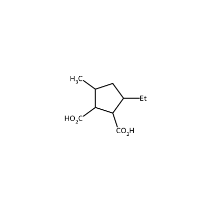 CCC1CC(C)C(C(=O)O)C1C(=O)O